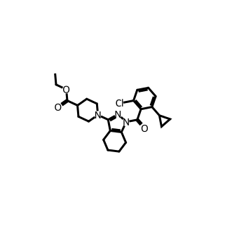 CCOC(=O)C1CCN(c2nn(C(=O)c3c(Cl)cccc3C3CC3)c3c2CCCC3)CC1